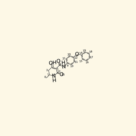 CC1CC(O)=C(C(=O)Nc2ccc(Oc3ccccc3)cc2)C(=O)N1